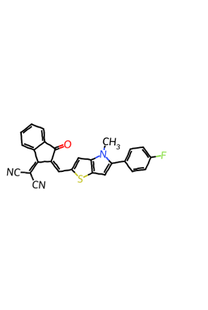 Cn1c(-c2ccc(F)cc2)cc2sc(/C=C3\C(=O)c4ccccc4C3=C(C#N)C#N)cc21